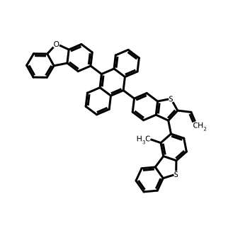 C=Cc1sc2cc(-c3c4ccccc4c(-c4ccc5oc6ccccc6c5c4)c4ccccc34)ccc2c1-c1ccc2sc3ccccc3c2c1C